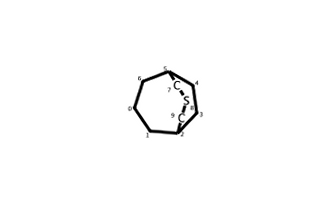 C1CC2CCC(C1)CSC2